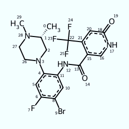 C[C@@H]1CN(c2cc(F)c(Br)cc2NC(=O)c2c[nH]c(=O)cc2C(F)(F)F)CCN1C